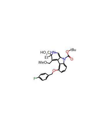 CCC1(C(=O)O)NC=c2c(c3c(OCc4ccc(F)cc4)cccc3n2C(=O)OC(C)(C)C)=C1COC